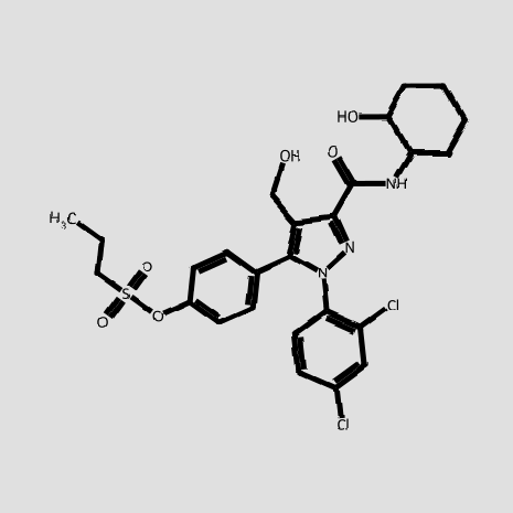 CCCS(=O)(=O)Oc1ccc(-c2c(CO)c(C(=O)NC3CCCCC3O)nn2-c2ccc(Cl)cc2Cl)cc1